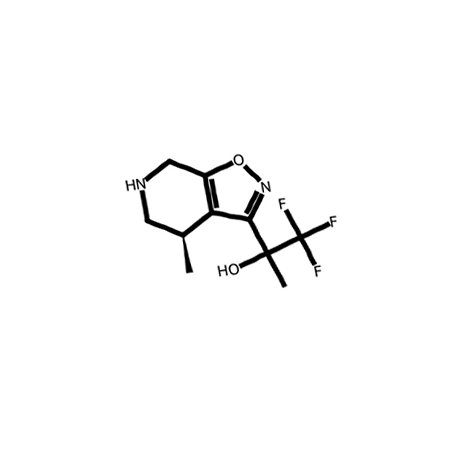 C[C@H]1CNCc2onc(C(C)(O)C(F)(F)F)c21